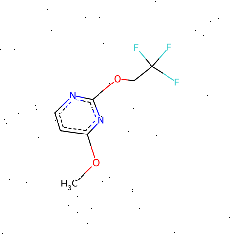 COc1ccnc(OCC(F)(F)F)n1